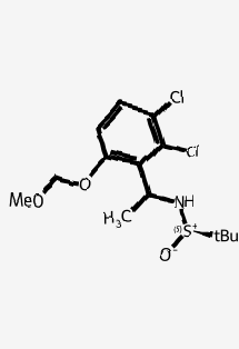 COCOc1ccc(Cl)c(Cl)c1C(C)N[S@+]([O-])C(C)(C)C